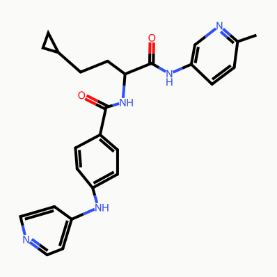 Cc1ccc(NC(=O)C(CCC2CC2)NC(=O)c2ccc(Nc3ccncc3)cc2)cn1